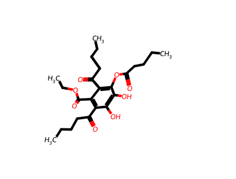 CCCCC(=O)Oc1c(O)c(O)c(C(=O)CCCC)c(C(=O)OCC)c1C(=O)CCCC